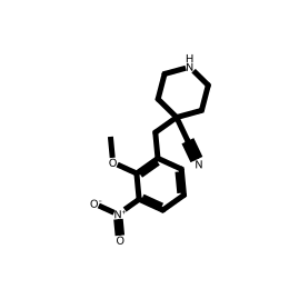 COc1c(CC2(C#N)CCNCC2)cccc1[N+](=O)[O-]